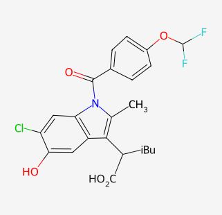 CCC(C)C(C(=O)O)c1c(C)n(C(=O)c2ccc(OC(F)F)cc2)c2cc(Cl)c(O)cc12